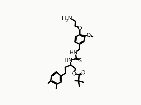 COc1cc(CNC(=S)NC(CCc2ccc(C)c(C)c2)COC(=O)C(C)(C)C)ccc1OCCN